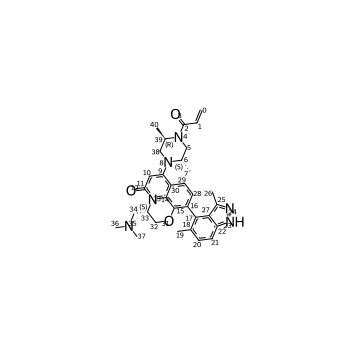 C=CC(=O)N1C[C@H](C)N(c2cc(=O)n3c4c(c(-c5c(C)ccc6[nH]nc(C)c56)ccc24)OC[C@@H]3CN(C)C)C[C@H]1C